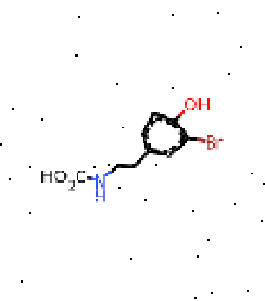 O=C(O)NCCc1ccc(O)c(Br)c1